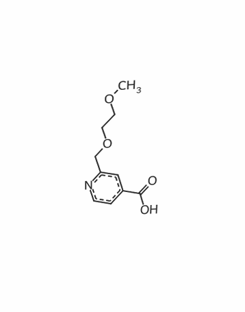 COCCOCc1cc(C(=O)O)ccn1